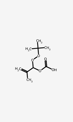 C=C(C)C(OOC(C)(C)C)OC(=O)O